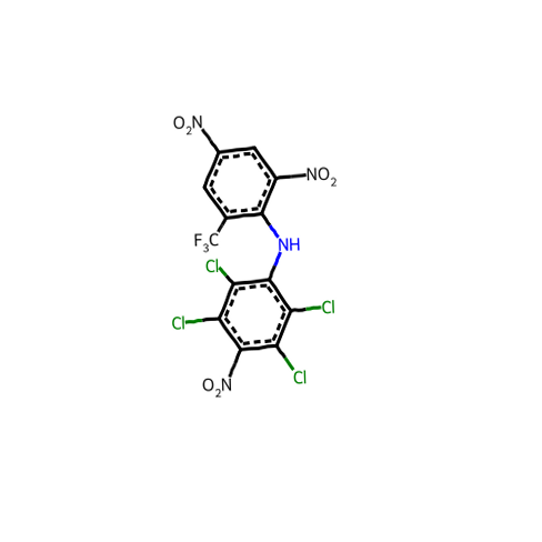 O=[N+]([O-])c1cc([N+](=O)[O-])c(Nc2c(Cl)c(Cl)c([N+](=O)[O-])c(Cl)c2Cl)c(C(F)(F)F)c1